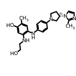 Cc1cc(Nc2ccc(N3CC[C@H](n4ccnc4C)C3)cc2)c(NCCO)cc1O